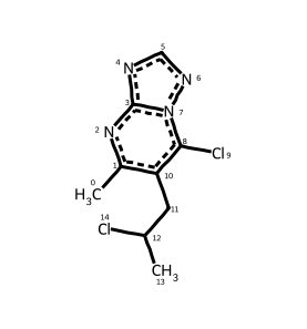 Cc1nc2ncnn2c(Cl)c1CC(C)Cl